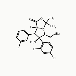 CC(C)(C)C[C@@H]1N2[C@@H](C(=O)OC2(C)C)[C@H](c2cccc(F)c2)[C@@]1(N)c1ccc(Cl)cc1F